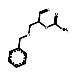 NC(=O)OC(C=O)COCc1ccccc1